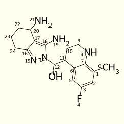 Cc1cc(F)cc2c1NCCC2C(O)n1nc2c(c1N)C(N)CCC2